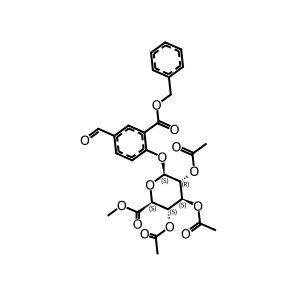 COC(=O)[C@H]1O[C@@H](Oc2ccc(C=O)cc2C(=O)OCc2ccccc2)[C@H](OC(C)=O)[C@@H](OC(C)=O)[C@@H]1OC(C)=O